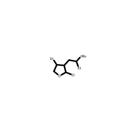 CCCCC(CC)CC1C(CC)COC1Cl